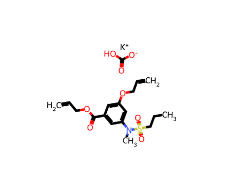 C=CCOC(=O)c1cc(OCC=C)cc(N(C)S(=O)(=O)CCC)c1.O=C([O-])O.[K+]